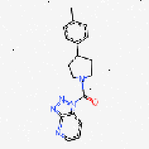 Cc1ccc(C2CCN(C(=O)n3nnc4ncccc43)CC2)cc1